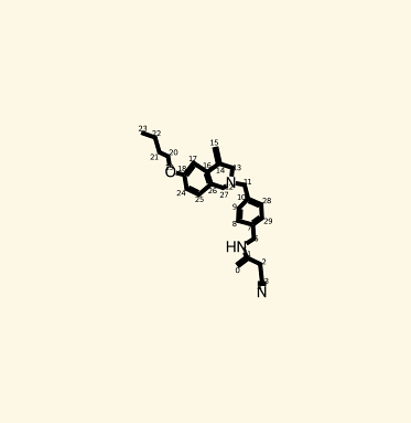 C=C(CC#N)NCc1ccc(CN2CC(=C)c3cc(OCCCC)ccc3C2)cc1